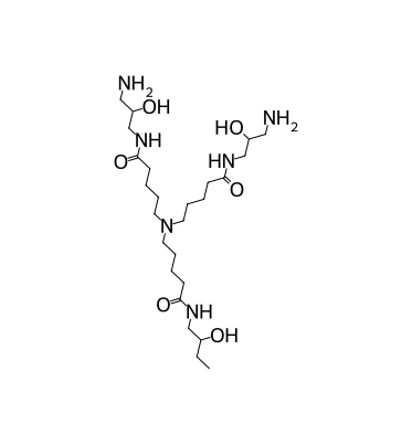 CCC(O)CNC(=O)CCCCN(CCCCC(=O)NCC(O)CN)CCCCC(=O)NCC(O)CN